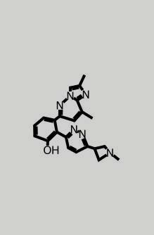 Cc1cn2nc(-c3cccc(O)c3-c3ccc(C4CN(C)C4)nn3)cc(C)c2n1